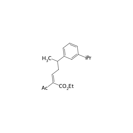 CCOC(=O)/C(=C\CC(C)c1cccc(C(C)C)c1)C(C)=O